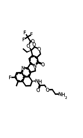 CC[C@@]1(OC(=O)C(F)(F)F)C(=O)OCc2c1cc1n(c2=O)Cc2c-1nc1cc(F)c(C)c3c1c2[C@@H](NC(=O)COCCN)CC3